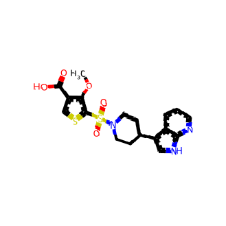 COc1c(C(=O)O)csc1S(=O)(=O)N1CCC(c2c[nH]c3ncccc23)CC1